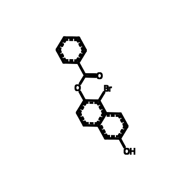 O=C(Oc1ccc2cc(O)ccc2c1Br)c1ccccc1